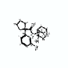 O=C(O[C@H]1CN2CCC1CC2)C1(c2cccc(Br)c2)CCCC1